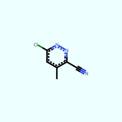 Cc1cc(Cl)nnc1C#N